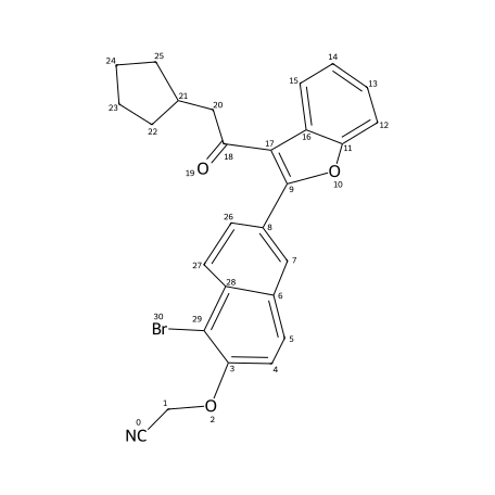 N#CCOc1ccc2cc(-c3oc4ccccc4c3C(=O)CC3CCCC3)ccc2c1Br